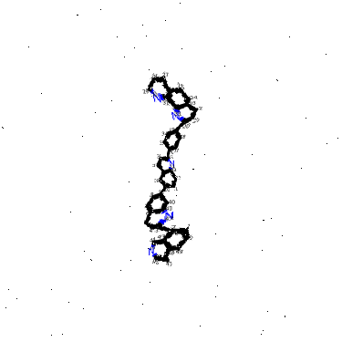 c1cc(-c2ccc3ccc(-c4ccc5nc(-c6ccc(-c7ccc8ccc9cccnc9c8n7)cc6)ccc5c4)cc3n2)c2cnccc2c1